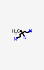 C=CC(C#N)(CCC#N)CCC#N